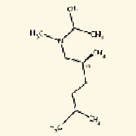 CC(C)CC[C@H](C)CN(C)C(C)C